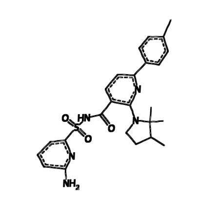 Cc1ccc(-c2ccc(C(=O)NS(=O)(=O)c3cccc(N)n3)c(N3CCC(C)C3(C)C)n2)cc1